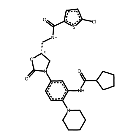 O=C(NC[C@@H]1CN(c2ccc(N3CCCCC3)c(NC(=O)C3CCCC3)c2)C(=O)O1)c1ccc(Cl)s1